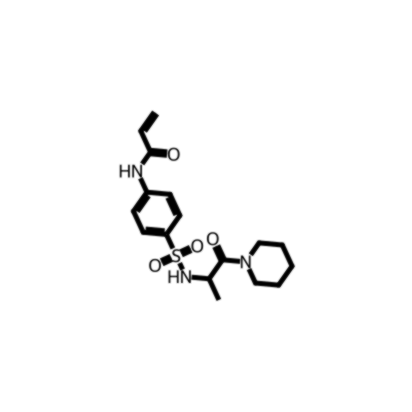 C=CC(=O)Nc1ccc(S(=O)(=O)NC(C)C(=O)N2CCCCC2)cc1